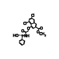 COC(=O)c1cc(OCC(=O)N[C@@H](CO)c2ccccc2)c2c(Cl)cc(Cl)cc2c1